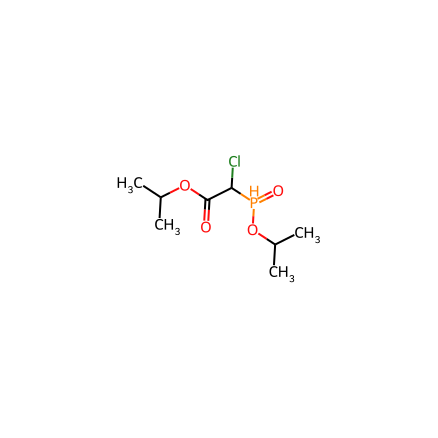 CC(C)OC(=O)C(Cl)[PH](=O)OC(C)C